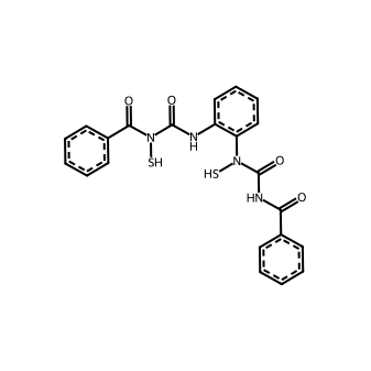 O=C(NC(=O)N(S)c1ccccc1NC(=O)N(S)C(=O)c1ccccc1)c1ccccc1